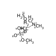 CN(C)C.COS(=O)(=O)O.O.S